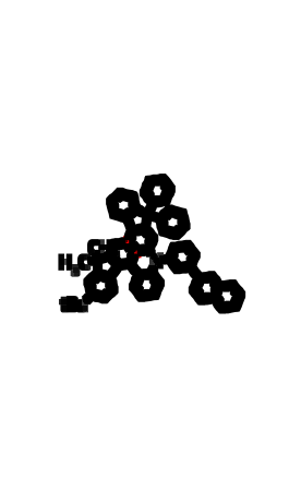 CC(C)(C)c1ccc2c(c1)C(C)(C)c1cccc(-c3ccccc3N(c3cccc(-c4ccc5ccccc5c4)c3)c3ccc4c(c3)C(c3ccccc3)(c3ccccc3)c3ccccc3-4)c1-2